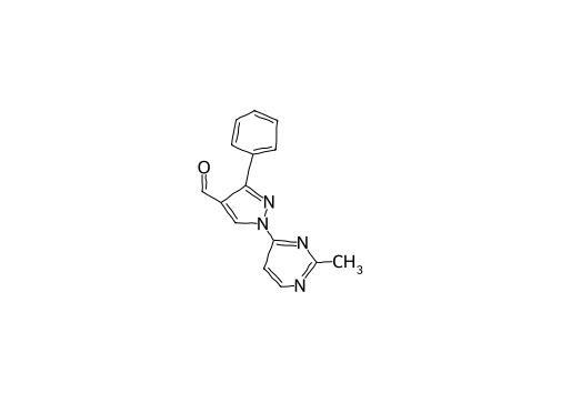 Cc1nccc(-n2cc(C=O)c(-c3ccccc3)n2)n1